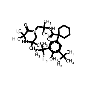 CC(C)(CN1CC(C)(C)NC(C)(C)C1=O)NC(=O)C1(c2cc(C(C)(C)C)c(O)c(C(C)(C)C)c2)CCCCC1